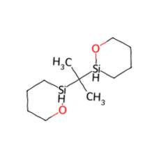 CC(C)([SiH]1CCCCO1)[SiH]1CCCCO1